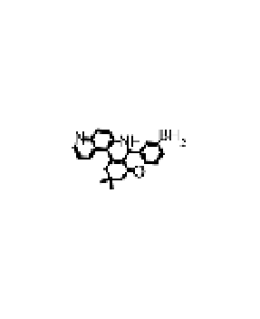 Bc1cccc(C2Nc3ccc4ncccc4c3C3=C2C(=O)CC(C)(C)C3)c1